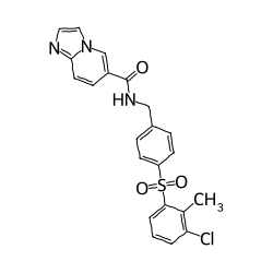 Cc1c(Cl)cccc1S(=O)(=O)c1ccc(CNC(=O)c2ccc3nccn3c2)cc1